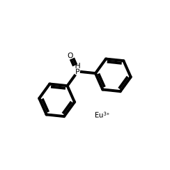 O=[PH](c1ccccc1)c1ccccc1.[Eu+3]